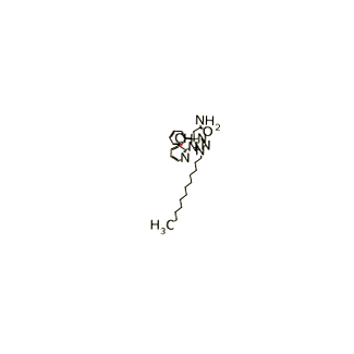 CCCCCCCCCCCCN1N=NC(CC(N)=O)(c2ccccc2)N1c1ncccc1C